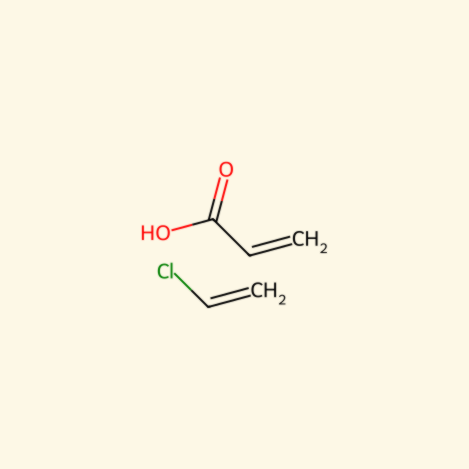 C=CC(=O)O.C=CCl